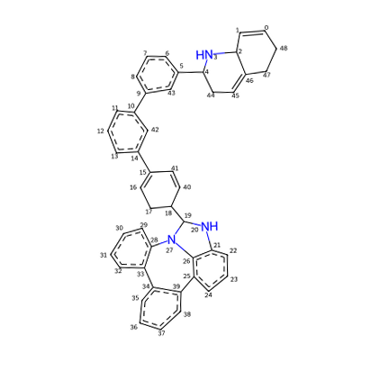 C1=CC2NC(c3cccc(-c4cccc(C5=CCC(C6Nc7cccc8c7N6c6ccccc6-c6ccccc6-8)C=C5)c4)c3)CC=C2CC1